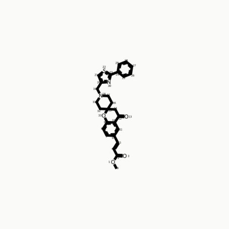 COC(=O)C=Cc1ccc2c(c1)C(=O)CC1(CCN(Cc3csc(-c4ccccc4)n3)CC1)O2